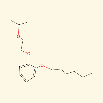 CCCCCCOc1ccccc1OCCOC(C)C